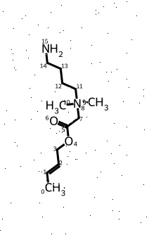 C/C=C/COC(=O)C[N+](C)(C)CCCCN